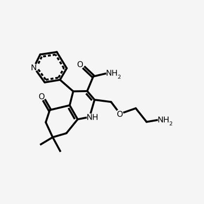 CC1(C)CC(=O)C2=C(C1)NC(COCCN)=C(C(N)=O)C2c1cccnc1